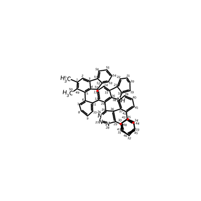 Cc1cc2c(c(-c3ccccc3-c3ccc4c([nH]c5ccccc54)c3-c3nnnc(-c4ccccc4)c3-c3ccccc3-c3ccccc3)c1C)Cc1ccccc1-2